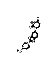 CN1CCN(c2nc3ccc(N4CCC(=O)NC4=O)cc3o2)CC1